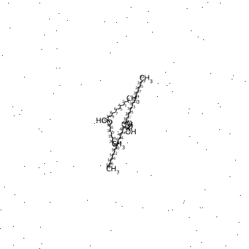 CCCCCCCCCCCC(O)OCCCCCCCC.CCCCCCCCCCCCCCCCCC(=O)OC(CCCCCCCCCCCCCCCC)C(=O)O